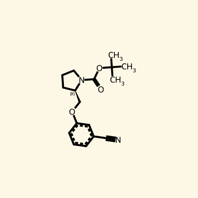 CC(C)(C)OC(=O)N1CCC[C@@H]1COc1cccc(C#N)c1